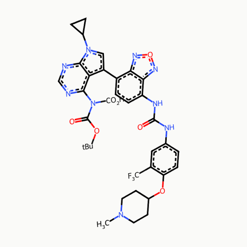 CN1CCC(Oc2ccc(NC(=O)Nc3ccc(-c4cn(C5CC5)c5ncnc(N(C(=O)O)C(=O)OC(C)(C)C)c45)c4nonc34)cc2C(F)(F)F)CC1